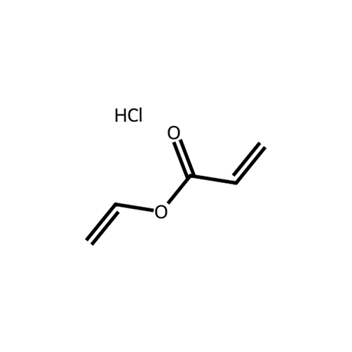 C=COC(=O)C=C.Cl